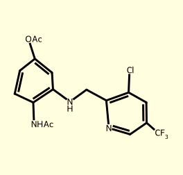 CC(=O)Nc1ccc(OC(C)=O)cc1NCc1ncc(C(F)(F)F)cc1Cl